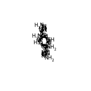 Nc1ncnc2c1ncn2[C@@H]1O[C@@H]2COP(=O)(S)OC3[C@@H](COP(=O)(S)OC2[C@@H]1N)O[C@@H](n1cnc2c(N)ncnc21)[C@H]3N